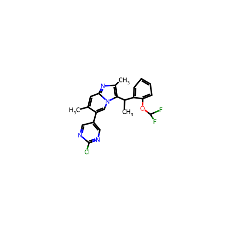 Cc1cc2nc(C)c(C(C)c3ccccc3OC(F)F)n2cc1-c1cnc(Cl)nc1